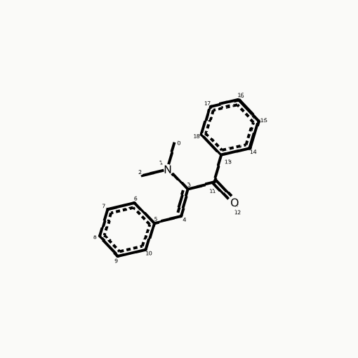 CN(C)/C(=C\c1ccccc1)C(=O)c1ccccc1